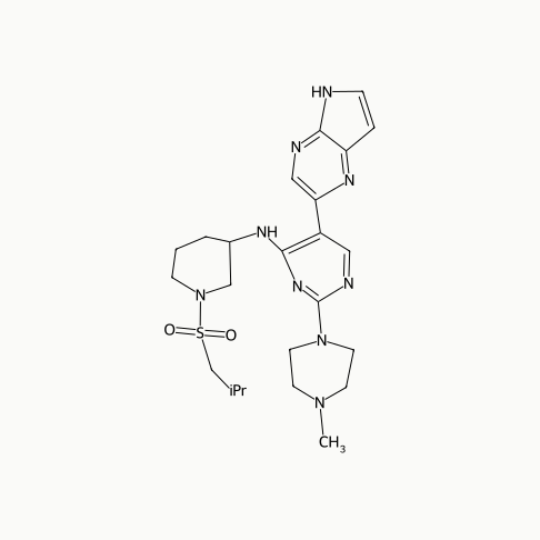 CC(C)CS(=O)(=O)N1CCCC(Nc2nc(N3CCN(C)CC3)ncc2-c2cnc3[nH]ccc3n2)C1